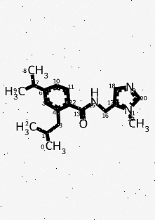 CC(C)Cc1cc(C(C)C)ccc1C(=O)NCc1cncn1C